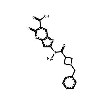 CN(C(=O)C1CN(Cc2ccccc2)C1)c1cc2oc(=O)c(C(=O)O)cc2s1